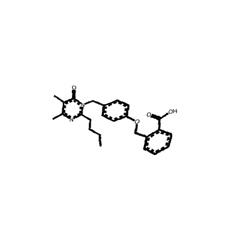 CCCCc1nc(C)c(C)c(=O)n1Cc1ccc(OCc2ccccc2C(=O)O)cc1